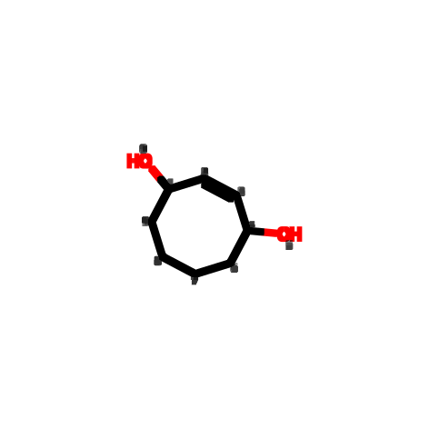 OC1/C=C\C(O)CCCC1